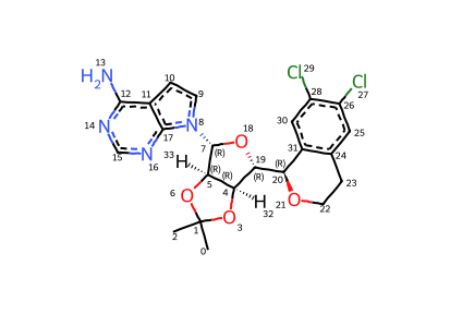 CC1(C)O[C@H]2[C@@H](O1)[C@H](n1ccc3c(N)ncnc31)O[C@@H]2[C@@H]1OCCc2cc(Cl)c(Cl)cc21